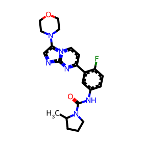 CC1CCCN1C(=O)Nc1ccc(F)c(-c2ccn3c(N4CCOCC4)cnc3n2)c1